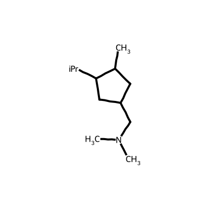 CC(C)C1CC(CN(C)C)CC1C